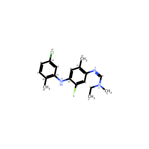 CCN(C)/C=N\c1cc(F)c(Nc2cc(Cl)ccc2C)cc1C